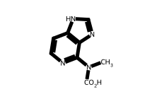 CN(C(=O)O)c1nccc2[nH]cnc12